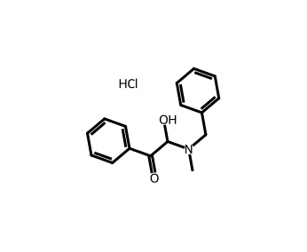 CN(Cc1ccccc1)C(O)C(=O)c1ccccc1.Cl